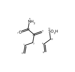 C=CCC(=C)C(N)=O.C=CCS(=O)(=O)O